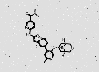 Cc1cc(-c2ccn3nc(Nc4ccc(C(=O)N(C)C)cn4)cc3c2)c(O[C@H]2C[C@H]3COC[C@@H](C2)N3)cn1